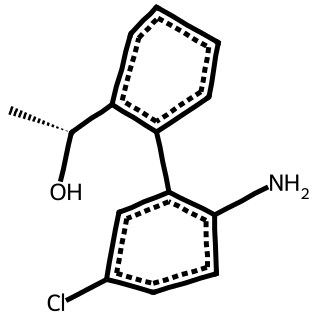 C[C@@H](O)c1ccccc1-c1cc(Cl)ccc1N